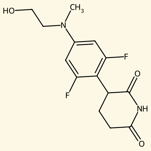 CN(CCO)c1cc(F)c(C2CCC(=O)NC2=O)c(F)c1